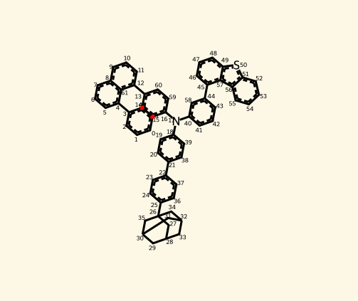 c1ccc(-c2cccc3cccc(-c4ccc(N(c5ccc(-c6ccc(C78CC9CC(CC(C9)C7)C8)cc6)cc5)c5cccc(-c6cccc7sc8ccccc8c67)c5)cc4)c23)cc1